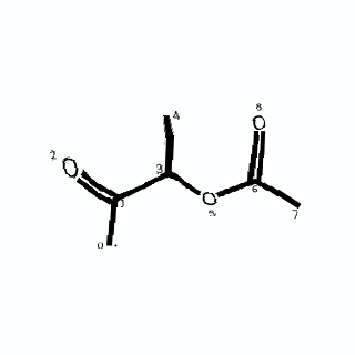 [CH2]C(=O)C(C)OC(C)=O